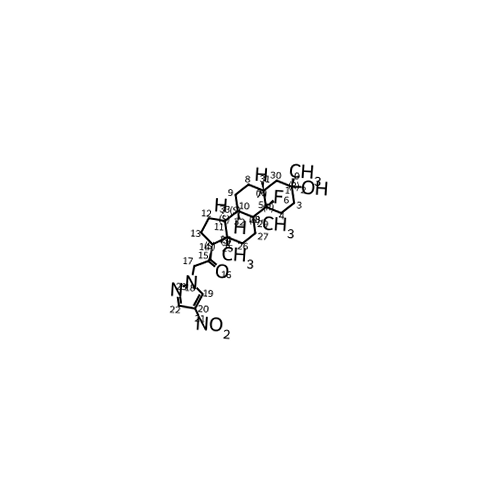 C[C@@]1(O)CC[C@@]2(F)[C@H](CC[C@H]3[C@@H]4CC[C@H](C(=O)Cn5cc([N+](=O)[O-])cn5)[C@@]4(C)CC[C@@]32C)C1